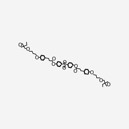 CCC1(COCCCCOc2ccc(CCC(=O)Oc3ccc(S(=O)(=O)c4ccc(OC(=O)CCc5ccc(OCCCCOCC6(CC)COC6)cc5)cc4)cc3)cc2)COC1